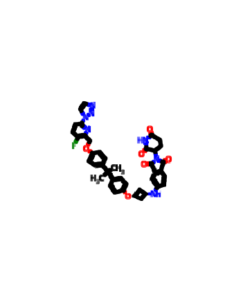 CC(C)(c1ccc(OCc2nc(-n3ccnn3)ccc2F)cc1)c1ccc(O[C@H]2C[C@H](Nc3ccc4c(c3)C(=O)N(C3CCC(=O)NC3=O)C4=O)C2)cc1